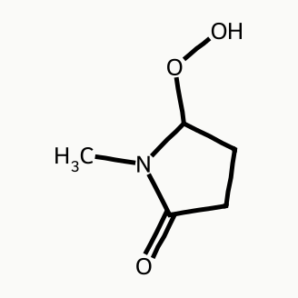 CN1C(=O)CCC1OO